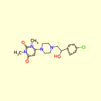 Cn1c(N2CCN(CC(O)c3ccc(Cl)cc3)CC2)cc(=O)n(C)c1=O